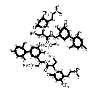 CCOC(=O)C[C@H](NC(=O)C(CC(C)C)n1cc(CCN(C)C)c(C(F)(F)F)cc1=O)c1cc(-c2c(C)cc(C)cc2C)cc(Cl)c1F.Cc1cc(C)c(-c2cc(Cl)c(F)c([C@H](CC(=O)O)NC(=O)C(CC(C)C)n3cc(CCN(C)C)c(C(F)(F)F)cc3=O)c2)c(C)c1